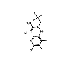 Cc1c(Cl)nnc(NN(CC(F)(F)F)C(N)=O)c1C.Cl